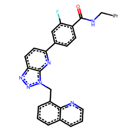 CC(C)CNC(=O)c1ccc(-c2ccc3nnn(Cc4cccc5cccnc45)c3n2)cc1F